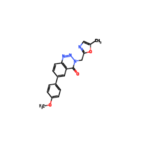 Cc1cnc(Cn2nnc3ccc(-c4ccc(OC(F)(F)F)cc4)cc3c2=O)o1